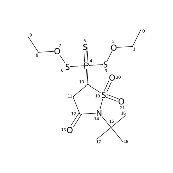 CCOSP(=S)(SOCC)C1CC(=O)N(C(C)(C)C)S1(=O)=O